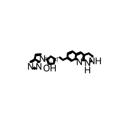 O[C@@H]1C[C@@H](CCc2ccc3cc4c(nc3c2)NNCC4)C[C@H]1n1ccc2cncnc21